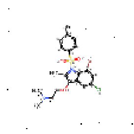 Cc1c(OCCN(C)C)c2cc(Cl)cc(Br)c2n1S(=O)(=O)c1ccc(C(C)C)cc1